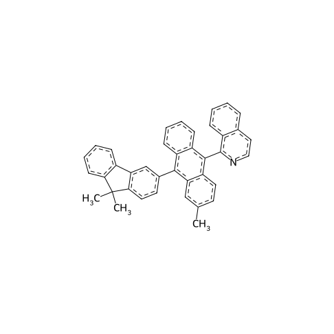 Cc1ccc2c(-c3nccc4ccccc34)c3ccccc3c(-c3ccc4c(c3)-c3ccccc3C4(C)C)c2c1